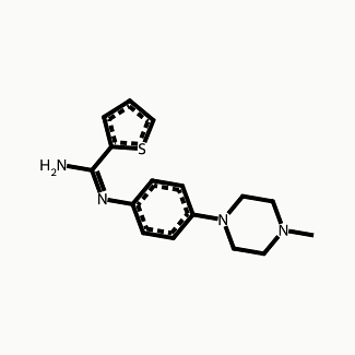 CN1CCN(c2ccc(/N=C(/N)c3cccs3)cc2)CC1